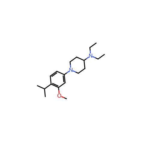 CCN(CC)C1CCN(c2ccc(C(C)C)c(OC)c2)CC1